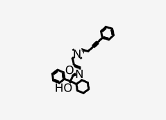 C[N+](C)(CCC#Cc1ccccc1)Cc1cnc(C(O)(c2ccccc2)C2CCCCC2)o1